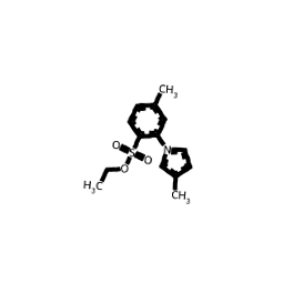 CCOS(=O)(=O)c1ccc(C)cc1-n1ccc(C)c1